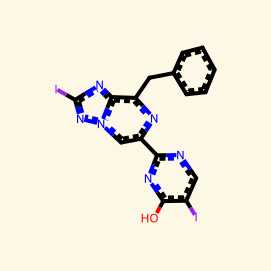 Oc1nc(-c2cn3nc(I)nc3c(Cc3ccccc3)n2)ncc1I